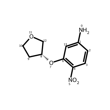 Nc1ccc([N+](=O)[O-])c(O[C@@H]2CCOC2)c1